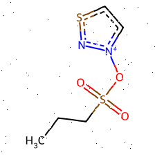 CCCS(=O)(=O)O[n+]1ccsn1